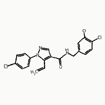 C=Cc1c(C(=O)NCc2ccc(Cl)c(Cl)c2)cnn1-c1ccc(Cl)cc1